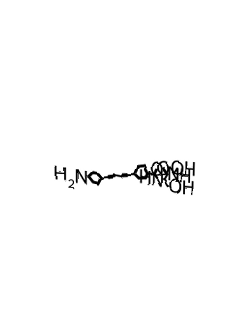 Nc1ccc(C#CC#Cc2ccc(C(=O)NC(CO)C(=O)NO)cc2)cc1